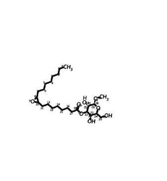 CCCCCCCCC1OC1CCCCCCCC(=O)OC1[C@H](O)C(CO)O[C@H](OC)[C@H]1O